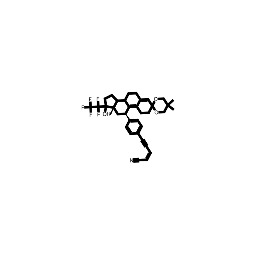 CC1(C)COC2(C=C3CCC4C(=C3CC2)[C@@H](c2ccc(C#C/C=C\C#N)cc2)C[C@@]2(C)C4CCC2(O)C(F)(F)C(F)(F)F)OC1